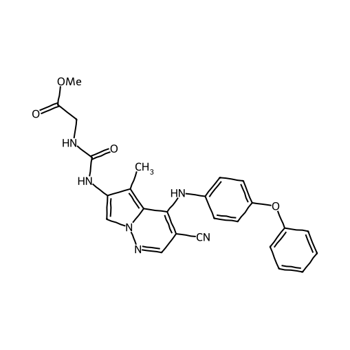 COC(=O)CNC(=O)Nc1cn2ncc(C#N)c(Nc3ccc(Oc4ccccc4)cc3)c2c1C